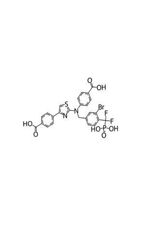 O=C(O)c1ccc(-c2csc(N(Cc3ccc(C(F)(F)P(=O)(O)O)c(Br)c3)c3ccc(C(=O)O)cc3)n2)cc1